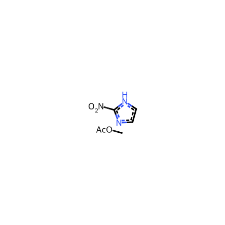 COC(C)=O.O=[N+]([O-])c1ncc[nH]1